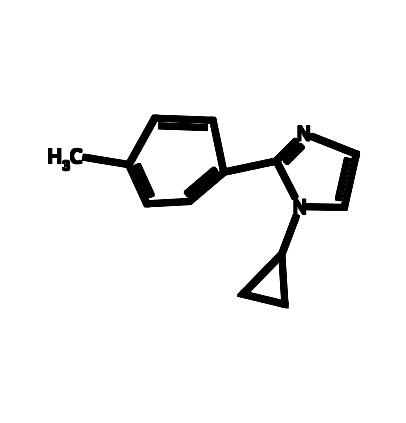 Cc1ccc(-c2nccn2C2CC2)cc1